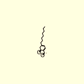 CCCCCCCCC1=CC=C([C]=O)C(=O)C1